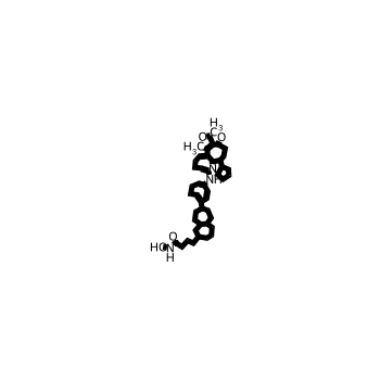 CC(=O)/C1=C(C)/C2=C/CC/C=C(NC3=C/CC/C=C(C4CCC5CCCC(CCCC(=O)NO)CC5CC4)/C=C\3)/N=C\2C(C2CCCC2)CCC1=O